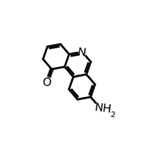 Nc1ccc2c3c(ncc2c1)C=CCC3=O